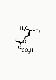 CC(C)=CCOC(=O)OC(=O)O